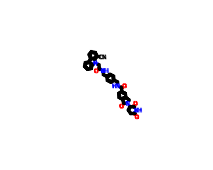 N#Cc1cccc2c3ccccc3n(CC(=O)NCc3ccc(CNC(=O)c4ccc5c(c4)CN(C4CCC(=O)NC4=O)C5=O)cc3)c12